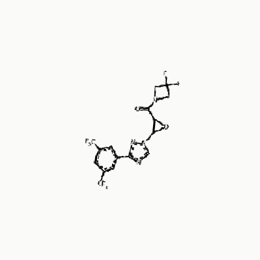 O=C(C1OC1n1cnc(-c2cc(C(F)(F)F)cc(C(F)(F)F)c2)n1)N1CC(F)(F)C1